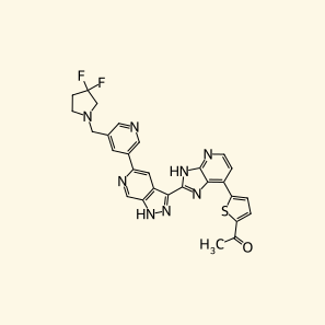 CC(=O)c1ccc(-c2ccnc3[nH]c(-c4n[nH]c5cnc(-c6cncc(CN7CCC(F)(F)C7)c6)cc45)nc23)s1